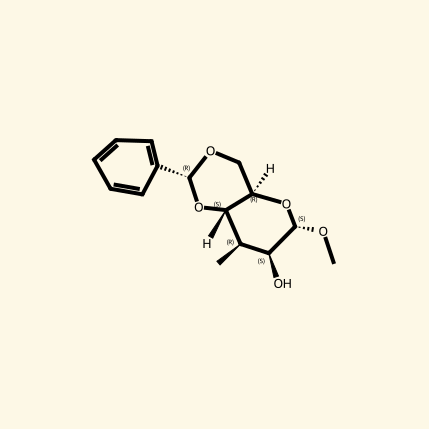 CO[C@H]1O[C@@H]2CO[C@@H](c3ccccc3)O[C@H]2[C@H](C)[C@@H]1O